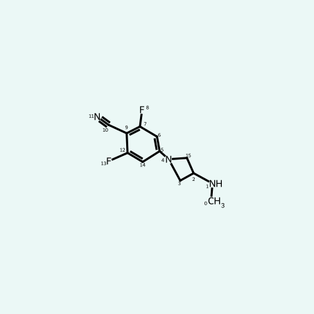 CNC1CN(c2cc(F)c(C#N)c(F)c2)C1